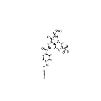 CC#CCOc1ccc(C(=O)NCC(C(=O)NOC(C)(C)C)N2CCN(S(C)(=O)=O)CC2)cc1